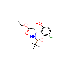 CCOC(=O)C[C@@H](N[S@+]([O-])C(C)(C)C)c1cc(F)ccc1O